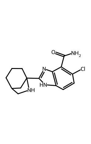 NC(=O)c1c(Cl)ccc2[nH]c(C34CCCC(CN3)C4)nc12